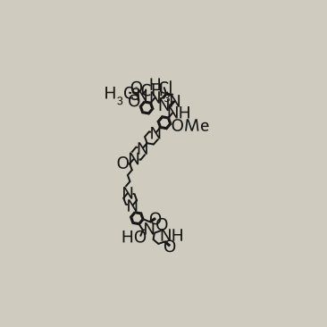 COc1cc(N2CCC(N3CCN(C(=O)CCCCN4CCN(c5ccc6c(c5)C(=O)N(C5CCC(=O)NC5=O)C6O)CC4)CC3)CC2)ccc1Nc1ncc(Cl)c(Nc2ccccc2N(C)S(C)(=O)=O)n1